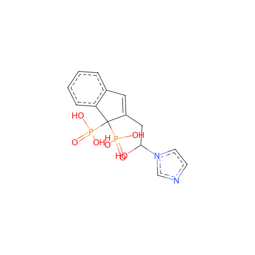 O=P(O)(O)C1(P(=O)(O)O)C(CC(O)n2ccnc2)=Cc2ccccc21